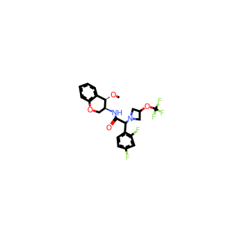 CO[C@H]1c2ccccc2OC[C@@H]1NC(=O)C(c1ccc(F)cc1F)N1CC(OC(F)(F)F)C1